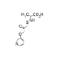 CC(NSCC(=O)COc1cccnc1)C(=O)O